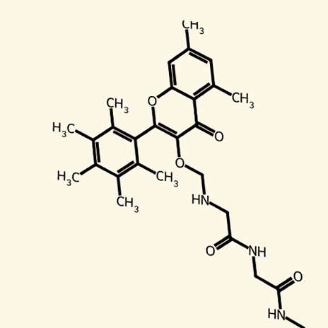 Cc1cc(C)c2c(=O)c(OCNCC(=O)NCC(=O)NCC=O)c(-c3c(C)c(C)c(C)c(C)c3C)oc2c1